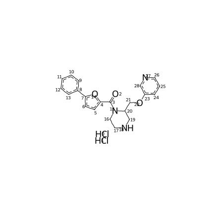 Cl.Cl.O=C(c1ccc(-c2ccccc2)o1)N1CCNCC1COc1cccnc1